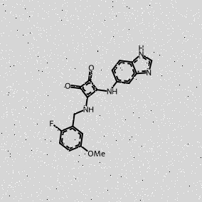 COc1ccc(F)c(CNc2c(Nc3ccc4[nH]cnc4c3)c(=O)c2=O)c1